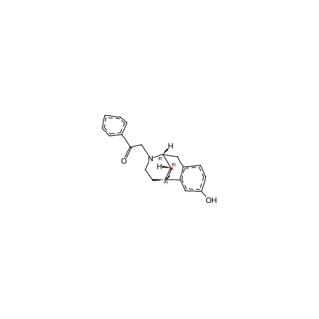 O=C(CN1CC[C@]23CCCC[C@H]2[C@H]1Cc1ccc(O)cc13)c1ccccc1